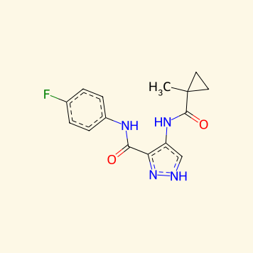 CC1(C(=O)Nc2c[nH]nc2C(=O)Nc2ccc(F)cc2)CC1